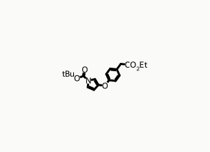 CCOC(=O)Cc1ccc(Oc2ccn(C(=O)OC(C)(C)C)c2)cc1